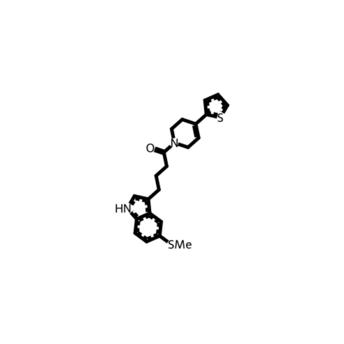 CSc1ccc2[nH]cc(CCCC(=O)N3CC=C(c4cccs4)CC3)c2c1